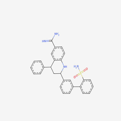 N=C(N)c1ccc2c(c1)C(c1ccccc1)CC(c1cccc(-c3ccccc3S(N)(=O)=O)c1)N2